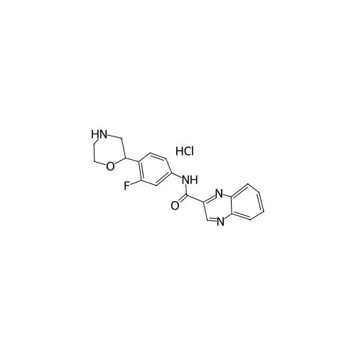 Cl.O=C(Nc1ccc(C2CNCCO2)c(F)c1)c1cnc2ccccc2n1